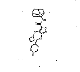 O=C(NC1C2CC3CC(C2)CC1C3)c1onc(OCC2CCNCC2)c1SC1CCC1